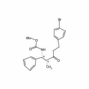 C[C@@H](C(=O)CCc1ccc(Br)cc1)[C@@H](NC(=O)OC(C)(C)C)c1ccccc1